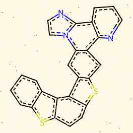 c1ccc2c(c1)sc1ccc3sc4cc5c6ncccc6c6nccn6c5cc4c3c12